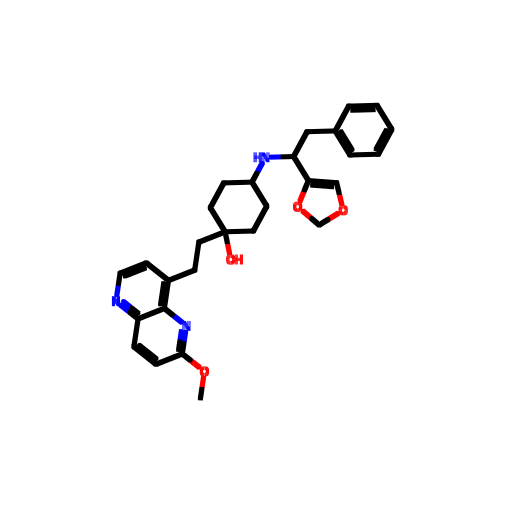 COc1ccc2nccc(CCC3(O)CCC(NC(Cc4ccccc4)C4=COCO4)CC3)c2n1